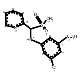 CS(=O)(=O)C(Nc1cc(Cl)cc(C(=O)O)c1)c1ccccn1